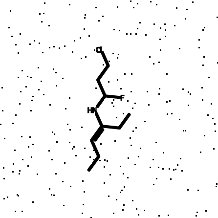 CC/C=C(\CC)NC(F)CCCl